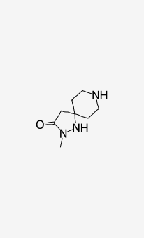 CN1NC2(CCNCC2)CC1=O